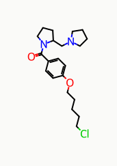 O=C(c1ccc(OCCCCCCl)cc1)N1CCCC1CN1CCCC1